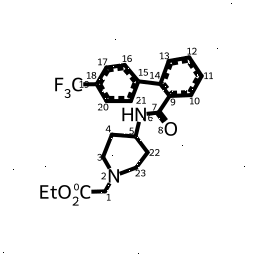 CCOC(=O)CN1CCC(NC(=O)c2ccccc2-c2ccc(C(F)(F)F)cc2)CC1